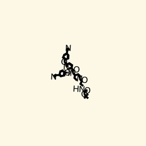 CC(C)(C)OC(=O)NCCC(=O)N1CCC(NC(=O)c2ccc(Oc3ccc(C#N)cc3)nc2Oc2ccc(C#N)cc2)CC1